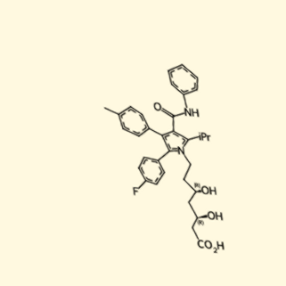 Cc1ccc(-c2c(C(=O)Nc3ccccc3)c(C(C)C)n(CC[C@@H](O)C[C@@H](O)CC(=O)O)c2-c2ccc(F)cc2)cc1